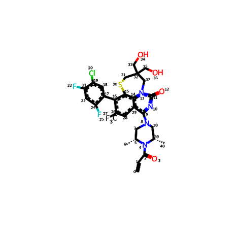 C=CC(=O)N1[C@H](C)CN(c2nc(=O)n3c4c(c(-c5cc(Cl)c(F)cc5F)c(C(F)(F)F)cc24)SCC(CO)(CO)C3)C[C@@H]1C